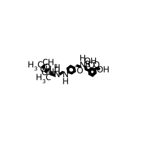 C[C@@H](CNCCN[C@H]1CC[C@H](CC(=O)N[C@H]2Cc3cccc(C(=O)O)c3OB2O)CC1)NC(=O)OC(C)(C)C